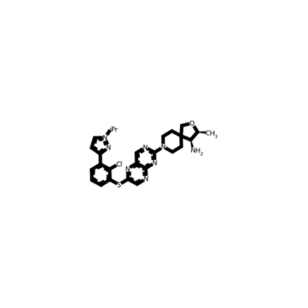 CC(C)n1ccc(-c2cccc(Sc3cnc4nc(N5CCC6(CC5)CO[C@@H](C)[C@H]6N)ncc4n3)c2Cl)n1